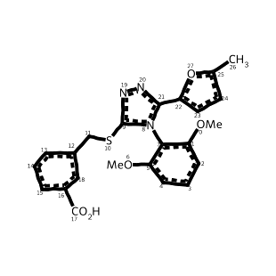 COc1cccc(OC)c1-n1c(SCc2cccc(C(=O)O)c2)nnc1-c1ccc(C)o1